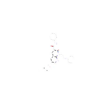 CC1(C)OB(c2cnc3c(c2)cc(C(=O)NC2CCCCC2)c(=O)n3CCN2CCOCC2)OC1(C)C